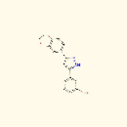 Oc1cccc(-c2cc(-c3ccc4c(c3)OCO4)n[nH]2)c1